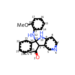 CCC(=O)C1c2cnccc2NC1(Nc1ccccc1OC)c1ccccc1